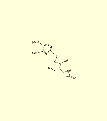 COc1ccc(COC(O)[C@@H](CBr)[C@H]2CC(=O)N2)cc1OC